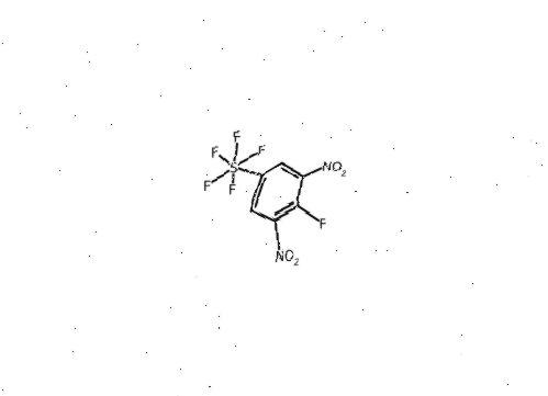 O=[N+]([O-])c1cc(S(F)(F)(F)(F)F)cc([N+](=O)[O-])c1F